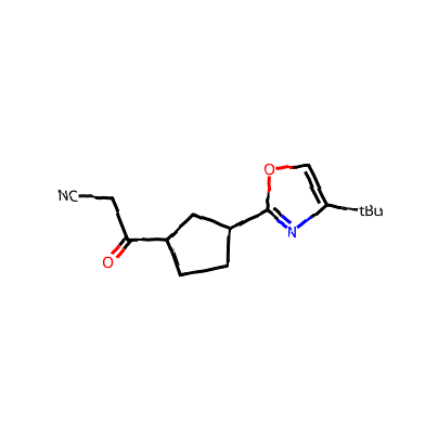 CC(C)(C)c1coc(C2CCC(C(=O)CC#N)C2)n1